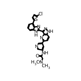 CN(C)CC(=O)Nc1cncc(-c2ccc3[nH]nc(-c4nc5c(-c6ccc(Cl)s6)cccc5[nH]4)c3n2)c1